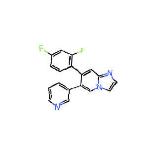 Fc1ccc(-c2cc3nccn3cc2-c2cccnc2)c(F)c1